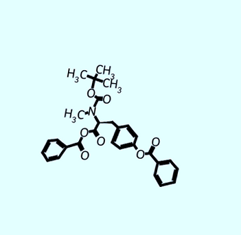 CN(C(=O)OC(C)(C)C)[C@@H](Cc1ccc(OC(=O)c2ccccc2)cc1)C(=O)OC(=O)c1ccccc1